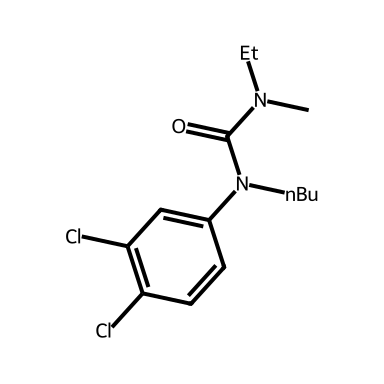 CCCCN(C(=O)N(C)CC)c1ccc(Cl)c(Cl)c1